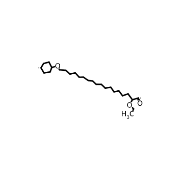 CCOC([C]=O)CCCCCCCCCCCCCCCCOC1CC[CH]CC1